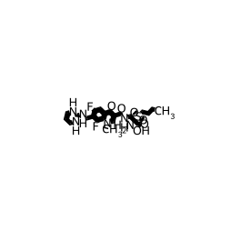 CCCCS(=O)(=O)C(N)(CNC(=O)c1cn(C)c2c(F)c(CNC3NC=CCN3)c(F)cc2c1=O)C(=O)O